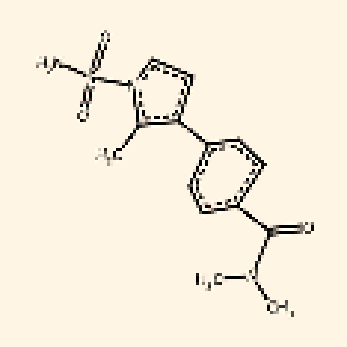 Cc1c(-c2ccc(C(=O)N(C)C)cc2)ccn1S(N)(=O)=O